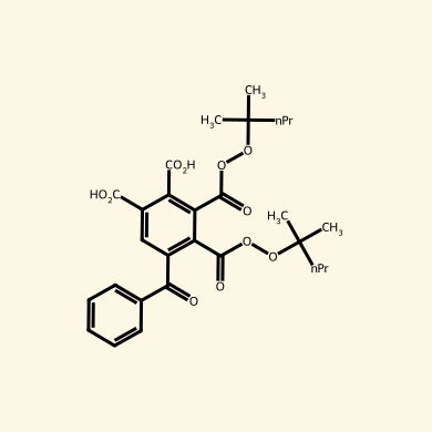 CCCC(C)(C)OOC(=O)c1c(C(=O)c2ccccc2)cc(C(=O)O)c(C(=O)O)c1C(=O)OOC(C)(C)CCC